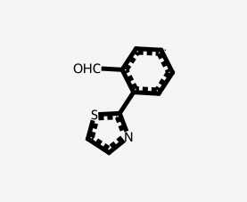 O=Cc1c[c]ccc1-c1nccs1